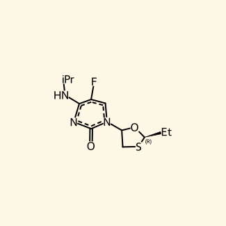 CC[C@@H]1OC(n2cc(F)c(NC(C)C)nc2=O)CS1